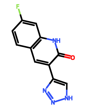 O=c1[nH]c2cc(F)ccc2cc1-c1c[nH]nn1